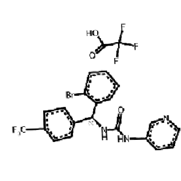 O=C(Nc1cccnc1)N[C@@H](c1ccc(C(F)(F)F)cc1)c1ccccc1Br.O=C(O)C(F)(F)F